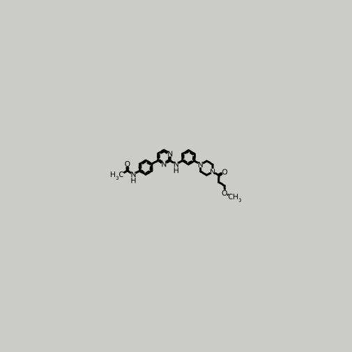 COCCC(=O)N1CCN(c2cccc(Nc3nccc(-c4ccc(NC(C)=O)cc4)n3)c2)CC1